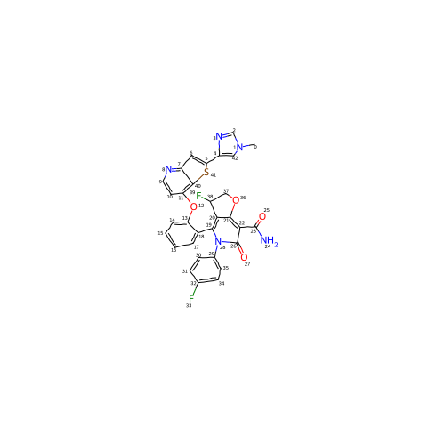 Cn1cnc(-c2cc3nccc(Oc4ccccc4-c4c5c(c(C(N)=O)c(=O)n4-c4ccc(F)cc4)OCC5F)c3s2)c1